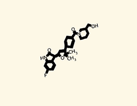 CC1(C)O/C(=C2/C(=O)Nc3cc(F)ccc32)C=C1c1ccc(C(=O)N2CCCC(CO)C2)cc1